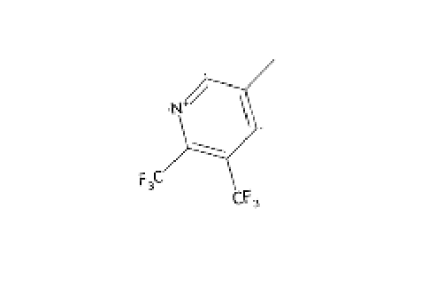 CC1=[C]C(C(F)(F)F)=C(C(F)(F)F)[N+]=[C]1